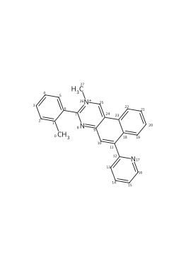 Cc1ccccc1-c1nc2cc(-c3ccccn3)c3ccccc3c2c[n+]1C